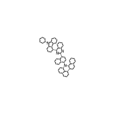 c1ccc(-n2c3ccccc3c3c(-c4nc(-c5ccc(N6c7c(ccc8ccccc78)-c7cccc8cccc6c78)c6ccccc56)nc5ccccc45)cccc32)cc1